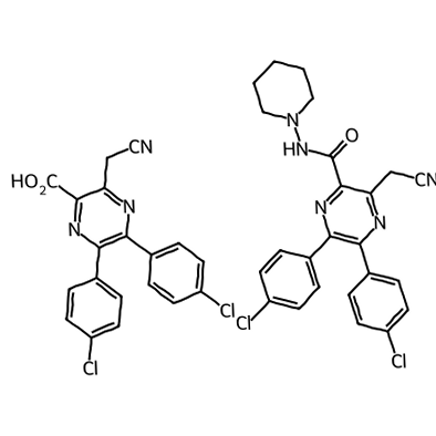 N#CCc1nc(-c2ccc(Cl)cc2)c(-c2ccc(Cl)cc2)nc1C(=O)NN1CCCCC1.N#CCc1nc(-c2ccc(Cl)cc2)c(-c2ccc(Cl)cc2)nc1C(=O)O